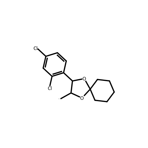 [CH2]C1OC2(CCCCC2)OC1c1ccc(Cl)cc1Cl